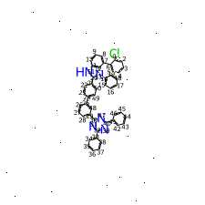 Clc1ccccc1-c1cccc2c1N(c1ccccc1)C(c1ccc(-c3cccc(-c4nc(-c5ccccc5)nc(-c5ccccc5)n4)c3)cc1)N2